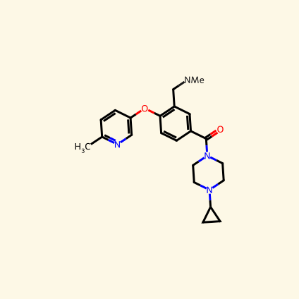 CNCc1cc(C(=O)N2CCN(C3CC3)CC2)ccc1Oc1ccc(C)nc1